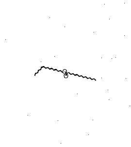 CCCCC/C=C\CC/C=C/C=C/CCCOC(=O)CCC/C=C/CCCCCCCCC